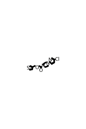 O=C(COCc1ccsc1)N1CCN(c2ccc(Cl)cn2)CC1